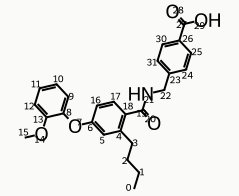 CCCCc1cc(Oc2ccccc2OC)ccc1C(=O)NCc1ccc(C(=O)O)cc1